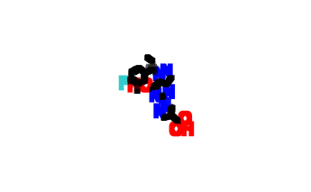 CC[C@@H](c1ccc(F)c(C)c1)n1ncc2nc(-n3cc(C(=O)O)cn3)nc(O)c21